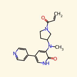 C=CC(=O)N1CCC(N(C)c2cc(-c3ccncc3)c[nH]c2=O)C1